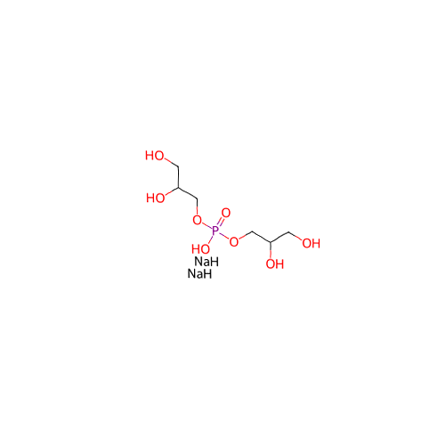 O=P(O)(OCC(O)CO)OCC(O)CO.[NaH].[NaH]